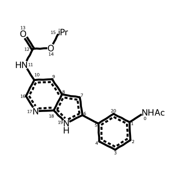 CC(=O)Nc1cccc(-c2cc3cc(NC(=O)OC(C)C)cnc3[nH]2)c1